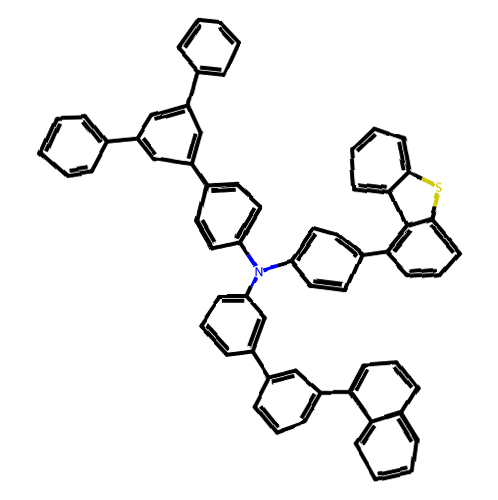 c1ccc(-c2cc(-c3ccccc3)cc(-c3ccc(N(c4ccc(-c5cccc6sc7ccccc7c56)cc4)c4cccc(-c5cccc(-c6cccc7ccccc67)c5)c4)cc3)c2)cc1